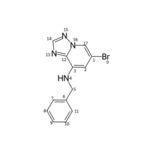 Brc1cc(NCc2ccccc2)c2ncnn2c1